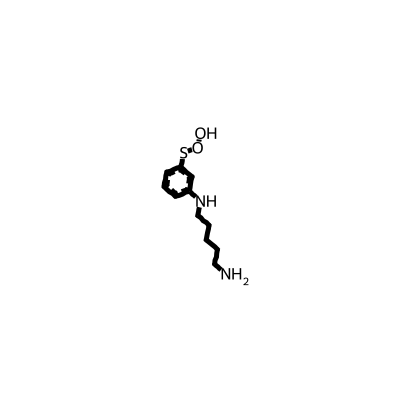 NCCCCCNc1cccc(SOO)c1